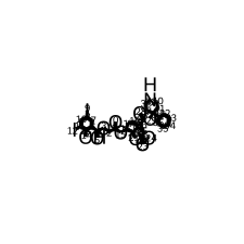 O=C(COC(=O)c1cc(I)cc(I)c1O)OC1C2CC3C1OS(=O)(=O)C3C2C(=O)OC1(c2ccccc2)CCNCC1